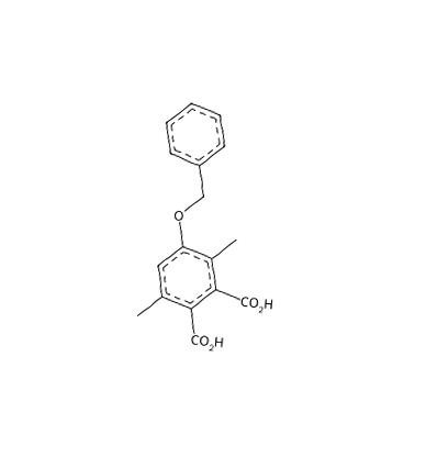 Cc1cc(OCc2ccccc2)c(C)c(C(=O)O)c1C(=O)O